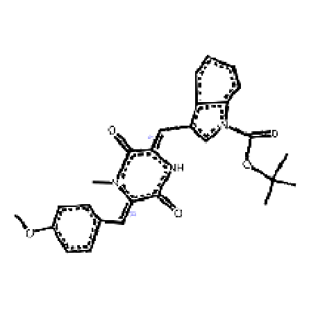 COc1ccc(/C=c2/c(=O)[nH]/c(=C\c3cn(C(=O)OC(C)(C)C)c4ccccc34)c(=O)n2C)cc1